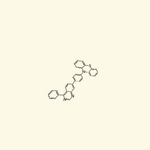 c1ccc(-c2ncnc3cc(-c4ccc(N5c6ccccc6Sc6ccccc65)cc4)ccc23)cc1